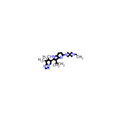 CCN1CC2(C1)CN(c1ccc3[nH]c(-c4cn5ncnc5c(C)c4C)c(C(C)C)c3n1)C2